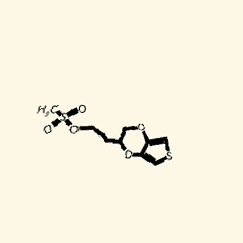 CS(=O)(=O)OCCC1COc2cscc2O1